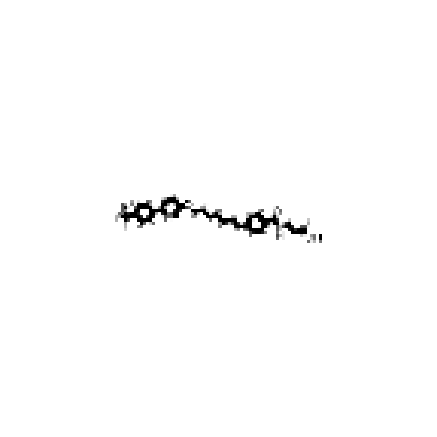 O=C(O)CCNC(=O)c1ccc(CCCCCCCOc2ccc(-c3ccc(C(F)(F)F)cc3)nc2)cc1